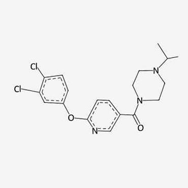 CC(C)N1CCN(C(=O)c2ccc(Oc3ccc(Cl)c(Cl)c3)nc2)CC1